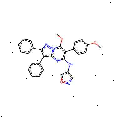 COc1ccc(-c2c(Nc3cnoc3)nc3c(-c4ccccc4)c(-c4ccccc4)nn3c2OC)cc1